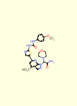 NC(=O)C(N1CCOCC1)n1ncc2c(C(=O)O)cc(-c3cnc(NC(=O)Nc4ccc(OC(F)(F)F)cc4)s3)nc21